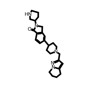 O=C1c2ccc(C3CCN(Cc4cc5n(n4)CCCC5)CC3)cc2CN1C1CCCNC1